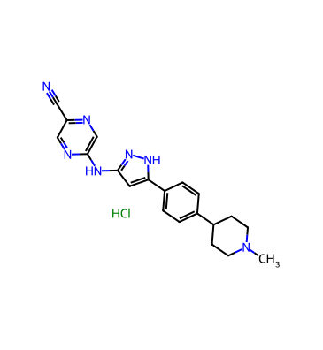 CN1CCC(c2ccc(-c3cc(Nc4cnc(C#N)cn4)n[nH]3)cc2)CC1.Cl